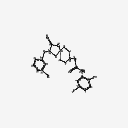 O=C(Nc1cc(F)ccc1F)ON1CCC2(CC1)CN(Cc1cccc(Br)c1)C(=O)O2